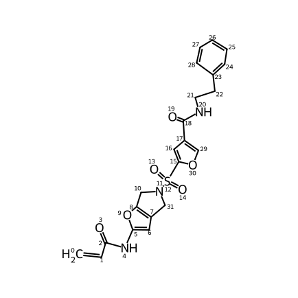 C=CC(=O)Nc1cc2c(o1)CN(S(=O)(=O)c1cc(C(=O)NCCc3ccccc3)co1)C2